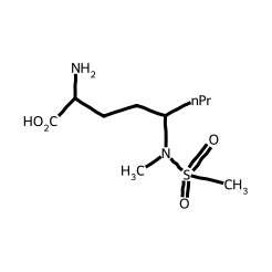 CCCC(CCC(N)C(=O)O)N(C)S(C)(=O)=O